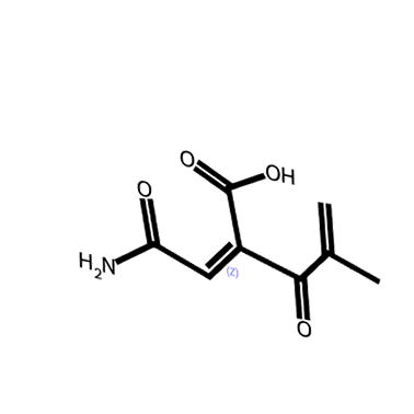 C=C(C)C(=O)/C(=C/C(N)=O)C(=O)O